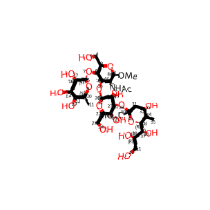 CO[C@@H]1OC(CO)C(O[C@@H]2O[C@@H](C)C(O)C(O)C2O)[C@H](O[C@@H]2OC(CO)C(O)[C@H](O[C@]3(C(=O)O)CC(O)C(C)[C@H]([C@H](O)[C@H](O)CO)O3)C2O)C1NC(C)=O